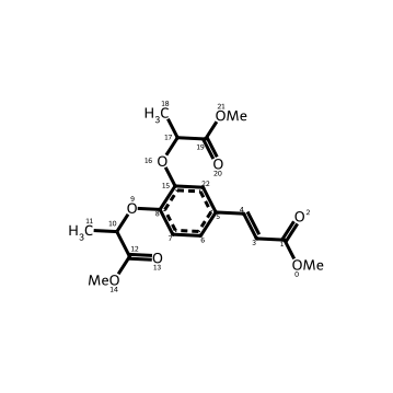 COC(=O)C=Cc1ccc(OC(C)C(=O)OC)c(OC(C)C(=O)OC)c1